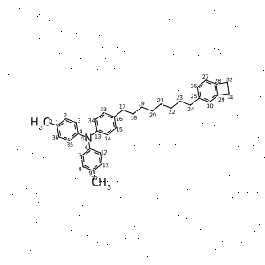 Cc1ccc(N(c2ccc(C)cc2)c2ccc(CCCCCCCCc3ccc4c(c3)CC4)cc2)cc1